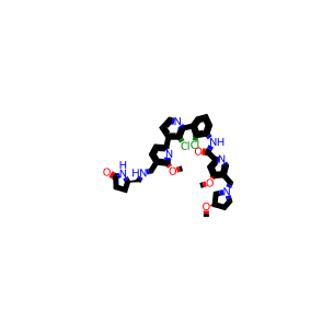 COc1cc(C(=O)Nc2cccc(-c3nccc(-c4ccc(CNC[C@H]5CCC(=O)N5)c(OC)n4)c3Cl)c2Cl)ncc1CN1CC[C@H](OC)C1